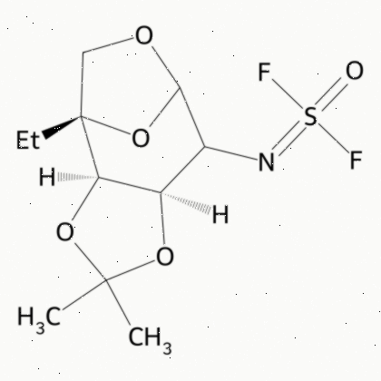 CC[C@@]12COC(O1)C(N=S(=O)(F)F)[C@H]1OC(C)(C)O[C@H]12